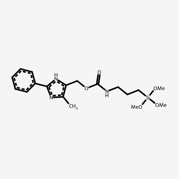 CO[Si](CCCNC(=O)OCc1[nH]c(-c2ccccc2)nc1C)(OC)OC